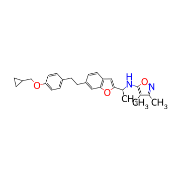 Cc1noc(NC(C)c2cc3ccc(CCc4ccc(OCC5CC5)cc4)cc3o2)c1C